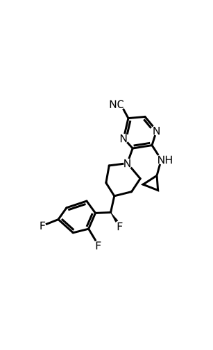 N#Cc1cnc(NC2CC2)c(N2CCC([C@@H](F)c3ccc(F)cc3F)CC2)n1